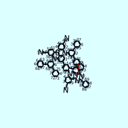 N#Cc1ccc(-n2c3ccccc3c3cc(-c4cc5c6c(c4)N(c4cc(-c7ccccc7)cc(-c7ccccc7)c4)c4cc(C#N)ccc4B6c4ccc(C#N)cc4N5c4cc(-c5ccccc5)cc(-c5ccccc5)c4)ccc32)c(-c2nc(-c3ccccc3)nc(-c3ccccc3)n2)c1